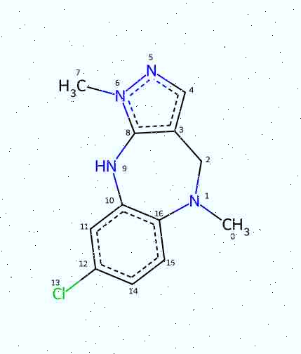 CN1Cc2cnn(C)c2Nc2cc(Cl)ccc21